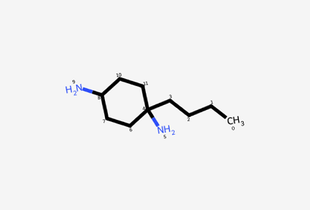 CCCCC1(N)CCC(N)CC1